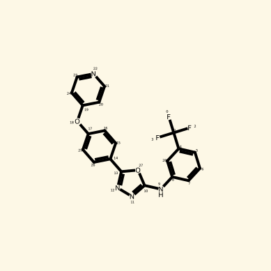 FC(F)(F)c1cccc(Nc2nnc(-c3ccc(Oc4ccncc4)cc3)o2)c1